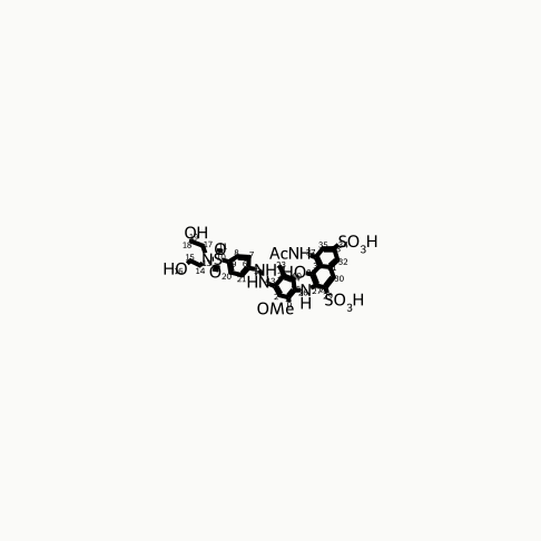 COc1cc(NNc2ccc(S(=O)(=O)N(CCO)CCO)cc2)c(C)cc1Nc1c(S(=O)(=O)O)cc2cc(S(=O)(=O)O)cc(NC(C)=O)c2c1O